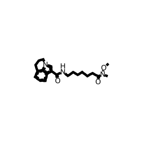 CON(C)C(=O)CCCCCCNC(=O)c1cn2c3c(cccc13)CCC2